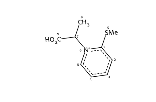 [CH2]Sc1cccc[n+]1C(C)C(=O)O